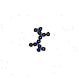 C1=C(C2=CC=C(N(c3ccc(-c4ccccc4)cc3)c3ccc4c(c3)c3ccccc3n4-c3ccccc3)CC2)CCC(N(c2ccc(-c3ccccc3)cc2)c2ccc3c(c2)c2ccccc2n3-c2ccccc2)=C1